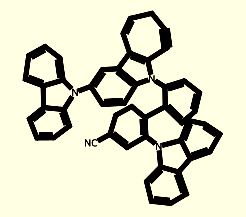 N#CC1=CC(n2c3ccccc3c3ccccc32)=C(c2ccccc2-n2c3c(c4cc(-n5c6ccccc6c6ccccc65)ccc42)C=CCC#C3)CC1